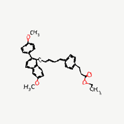 CCOC(=O)CCc1ccc(CCCCCc2c(-c3ccc(OC)cc3)ccc3cc(OC)ccc23)cc1